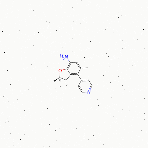 Cc1cc(N)c2c(c1-c1ccncc1)C[C@@H](C)O2